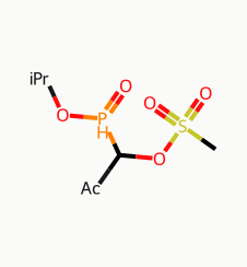 CC(=O)C(OS(C)(=O)=O)[PH](=O)OC(C)C